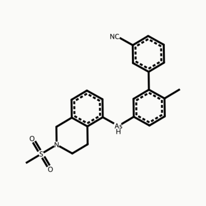 Cc1ccc([AsH]c2cccc3c2CCN(S(C)(=O)=O)C3)cc1-c1cccc(C#N)c1